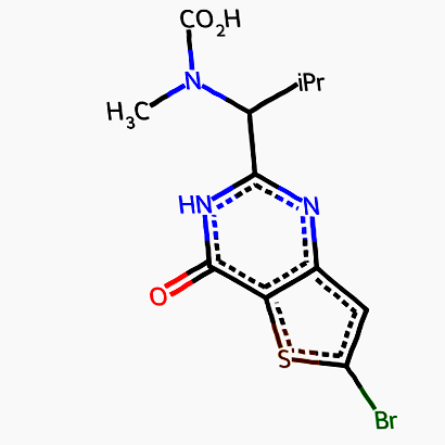 CC(C)C(c1nc2cc(Br)sc2c(=O)[nH]1)N(C)C(=O)O